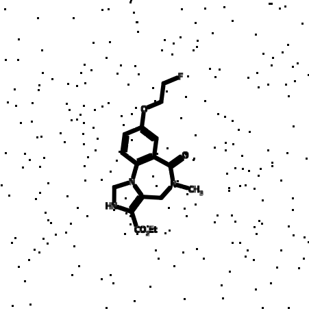 CCOC(=O)C1=C2CN(C)C(=O)c3cc(OCCF)ccc3N2CN1